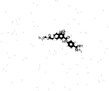 CCOC(=O)CN1CCc2ccc(C(=O)Nc3ccc(C(=N)N)cc3)cc2C1.Cl.Cl